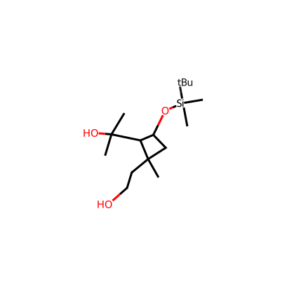 CC(C)(O)C1C(O[Si](C)(C)C(C)(C)C)CC1(C)CCO